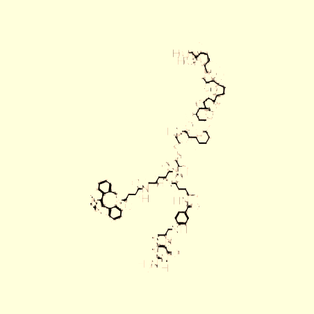 CO[C@@H]1C[C@@H](C[C@H]2CC[C@H](C)C([C@@H](C)C(=O)NCCSSC[C@@H](C)NC(=O)C(CCCNC(=O)CCC(=O)N3Cc4ccccc4-c4c(nnn4C)-c4ccccc43)NC(=O)CC[C@@H](C)NC(=O)c3ccc(NCc4cnc5nc(N)[nH]c(=O)c5n4)cc3)O2)O[C@]2(O[C@@](C)(C3CC[C@@](C)([C@@H]4O[C@@H]([C@@H]5O[C@@](O)(CO)[C@H](C)C[C@@H]5C)C[C@@H]4C)O3)C[C@H]2C)[C@@H]1C